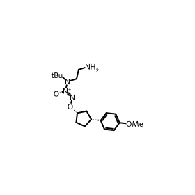 COc1ccc([C@@H]2CC[C@H](O/N=[N+](\[O-])N(CCN)C(C)(C)C)C2)cc1